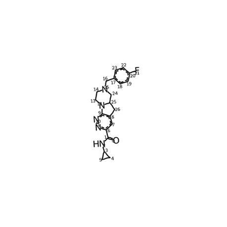 O=C(NC1CC1)c1cc2c(nn1)N1CCN(Cc3ccc(F)cc3)CC1C2